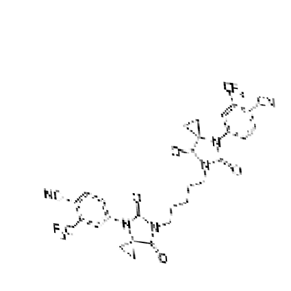 N#Cc1ccc(N2C(=O)N(CCCCCN3C(=O)N(c4ccc(C#N)c(C(F)(F)F)c4)C4(CC4)C3=O)C(=O)C23CC3)cc1C(F)(F)F